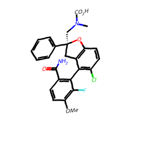 COc1ccc(C(N)=O)c(-c2c(Cl)ccc3c2C[C@@](CN(C)C(=O)O)(c2ccccc2)O3)c1F